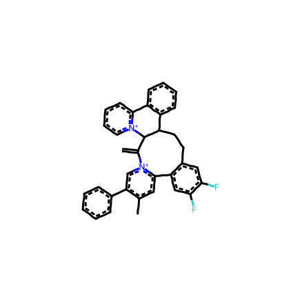 C=C1C2C(CCc3cc(F)c(F)cc3-c3cc(C)c(-c4ccccc4)c[n+]31)c1ccccc1-c1cccc[n+]12